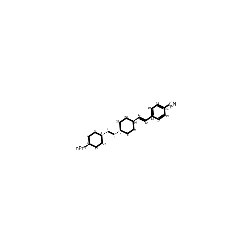 CCC[C@H]1CC[C@H](CC[C@H]2CC[C@H](C=Cc3ccc(C#N)cc3)CC2)CC1